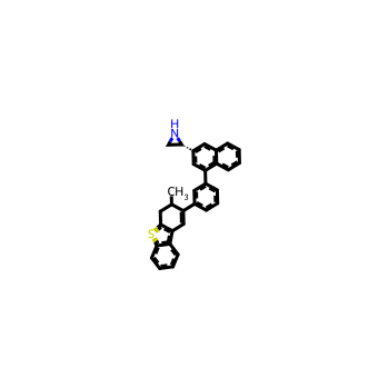 CC1Cc2sc3ccccc3c2C=C1c1cccc(-c2cc([C@@H]3CN3)cc3ccccc23)c1